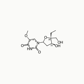 CC[C@]1(CO)OC(n2cc(OC)c(=O)[nH]c2=O)C[C@@H]1O